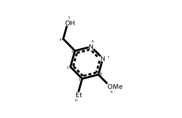 CCc1cc(CO)nnc1OC